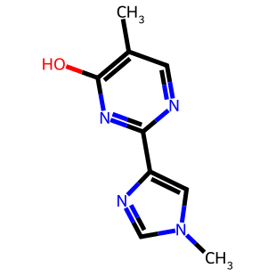 Cc1cnc(-c2cn(C)cn2)nc1O